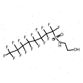 O=S(=O)(NCCO)C(F)(F)C(F)(F)C(F)(F)C(F)(F)C(F)(F)C(F)(F)C(F)(F)C(F)(F)F